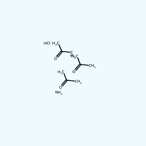 CC(C)=O.CC(C)=O.CC(C)=O.Cl.N